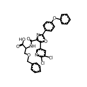 O=C(NC(COCc1ccccc1)C(=O)O)c1nc(-c2ccc(Oc3ccccc3)cc2)oc1-c1cnc(Cl)c(Cl)c1